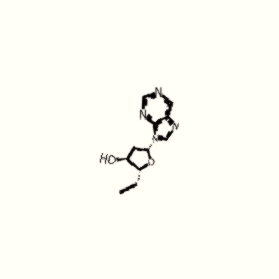 CC[C@H]1O[C@@H](n2cnc3cncnc32)C[C@@H]1O